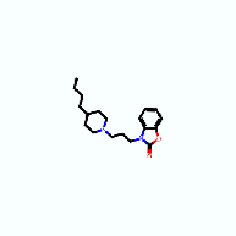 CCCCC1CCN(CCCn2c(=O)oc3ccccc32)CC1